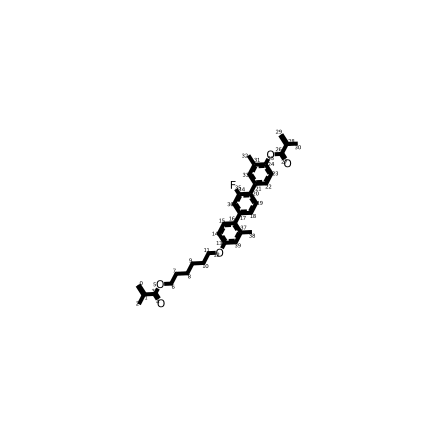 C=C(C)C(=O)OCCCCCCOc1ccc(-c2ccc(-c3ccc(OC(=O)C(=C)C)c(C)c3)c(F)c2)c(C)c1